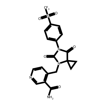 NC(=O)c1cnccc1CN1C(=O)N(c2ccc(S(=O)(=O)C(F)(F)F)cc2)C(=O)C12CC2